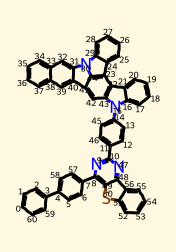 c1ccc(-c2ccc(-c3nc(-c4ccc(-n5c6ccccc6c6c7c8ccccc8n8c9cc%10ccccc%10cc9c(cc65)c78)cc4)nc4c3sc3ccccc34)cc2)cc1